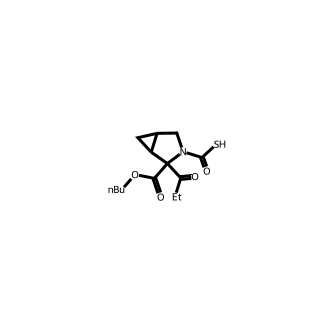 CCCCOC(=O)C1(C(=O)CC)C2CC2CN1C(=O)S